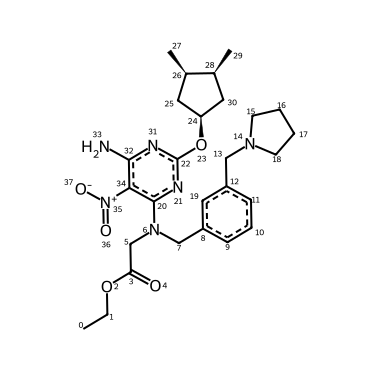 CCOC(=O)CN(Cc1cccc(CN2CCCC2)c1)c1nc(O[C@H]2C[C@@H](C)[C@@H](C)C2)nc(N)c1[N+](=O)[O-]